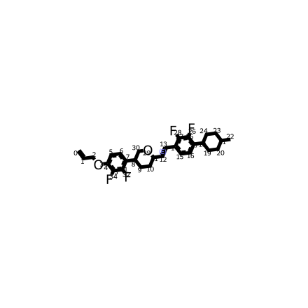 C=CCOc1ccc(C2CCC(/C=C/c3ccc(C4CCC(C)CC4)c(F)c3F)OC2)c(F)c1F